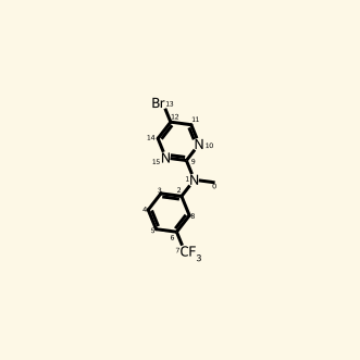 CN(c1cccc(C(F)(F)F)c1)c1ncc(Br)cn1